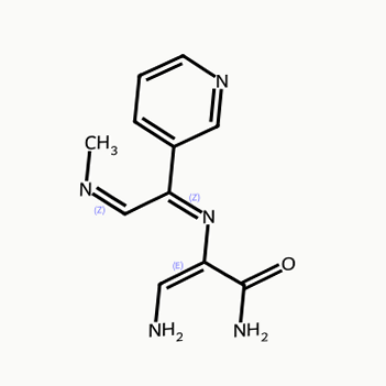 C\N=C/C(=N\C(=C\N)C(N)=O)c1cccnc1